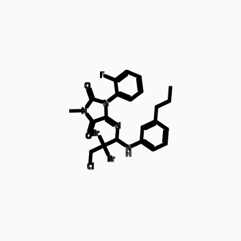 CCCc1cccc(NC(N=C2C(=O)N(C)C(=O)N2c2ccccc2F)C(Br)(Br)CCl)c1